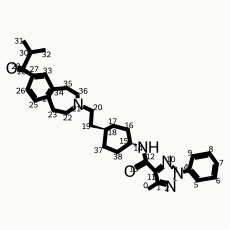 Cc1nn(-c2ccccc2)nc1C(=O)N[C@H]1CC[C@H](CCN2CCc3ccc(C(=O)C(C)C)cc3CC2)CC1